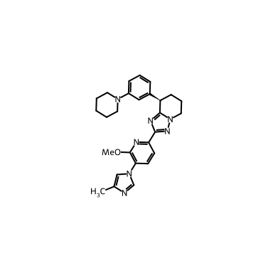 COc1nc(-c2nc3n(n2)CCC[C@@H]3c2cccc(N3CCCCC3)c2)ccc1-n1cnc(C)c1